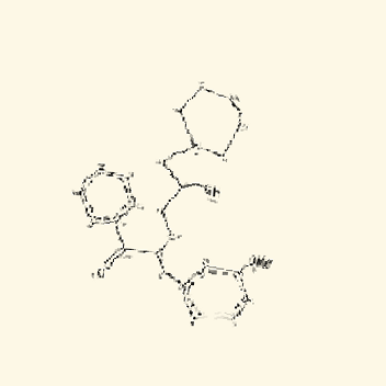 COc1cccc(CC(OCC(O)CN2CCCCC2)C(=O)c2ccccc2)c1